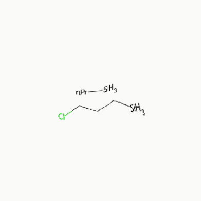 CCC[SiH3].[SiH3]CCCCl